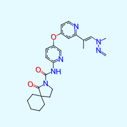 C=NN(C)/C=C(\C)c1cc(Oc2ccc(NC(=O)N3CCC4(CCCCC4)C3=O)nc2)ccn1